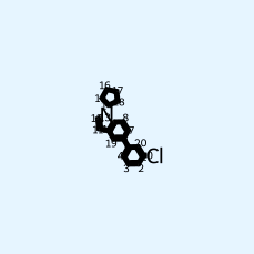 Clc1cccc(-c2ccc3c(ccn3C3CCCC3)c2)c1